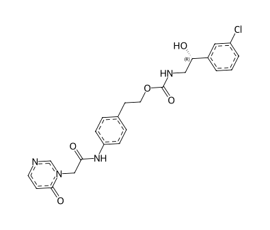 O=C(Cn1cnccc1=O)Nc1ccc(CCOC(=O)NC[C@H](O)c2cccc(Cl)c2)cc1